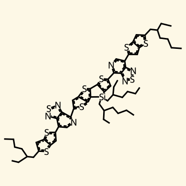 CCCCC(CC)Cc1cc2sc(-c3cnc(-c4cc5c(s4)-c4sc6cc(-c7ncc(-c8cc9sc(CC(CC)CCCC)cc9s8)c8nsnc78)sc6c4[Si]5(CC(CC)CCCC)CC(CC)CCCC)c4nsnc34)cc2s1